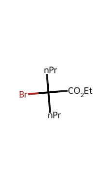 CCCC(Br)(CCC)C(=O)OCC